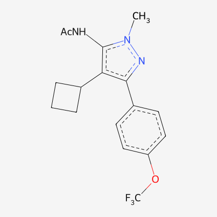 CC(=O)Nc1c(C2CCC2)c(-c2ccc(OC(F)(F)F)cc2)nn1C